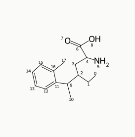 CCC(CC(N)C(=O)O)C(C)c1ccccc1C